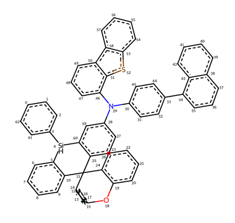 c1ccc([SiH]2c3ccccc3C3(c4ccccc4Oc4ccccc43)c3ccc(N(c4ccc(-c5cccc6ccccc56)cc4)c4cccc5c4sc4ccccc45)cc32)cc1